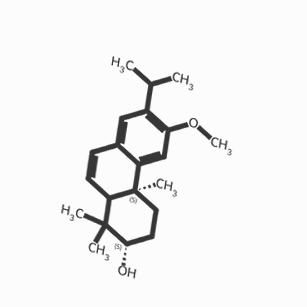 COc1cc2c(cc1C(C)C)C=CC1C(C)(C)[C@@H](O)CC[C@]21C